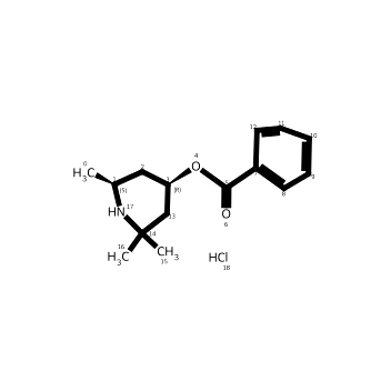 C[C@H]1C[C@@H](OC(=O)c2ccccc2)CC(C)(C)N1.Cl